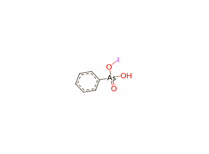 O=[As](O)(OI)c1ccccc1